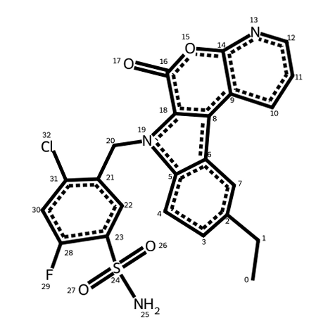 CCc1ccc2c(c1)c1c3cccnc3oc(=O)c1n2Cc1cc(S(N)(=O)=O)c(F)cc1Cl